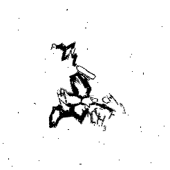 C[C@@H]1Cc2c([nH]c3ccccc23)[C@@H](c2c(F)cc(OCCN3CC(CF)C3)cc2F)N1C(=O)C(C)(C)F